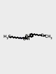 CCCCCCCC/C=C/COc1cnc(-c2ccc(CCCCCCOCCC)cc2)nc1